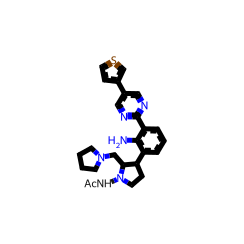 CC(=O)NN1CCC(c2cccc(-c3ncc(-c4ccsc4)cn3)c2N)C1CN1CCCC1